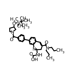 CCCN(CCC)C(=O)C1=Cc2ccc(-c3ccc(C(=O)N4CCC(O[Si](C)(C)C(C)(C)C)C4)cc3)cc2N=C(NC(=O)O)C1